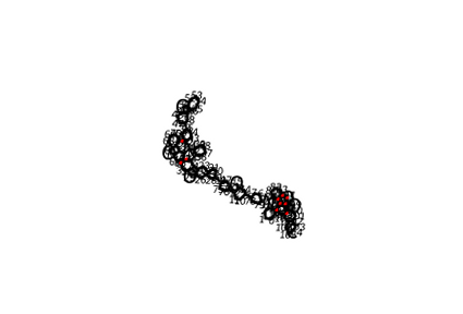 c1ccc(N(c2ccc(-c3ccc4c(c3)oc3cc(-c5ccc6cc7c(cc6c5)oc5cccc(-c6ccccc6N(c6ccc(-c8ccc9oc%10ccccc%10c9c8)cc6)c6cccc8oc9ccccc9c68)c57)ccc34)cc2)c2cccc3oc4ccccc4c23)c(-c2cccc3oc4cc5ccccc5cc4c23)c1